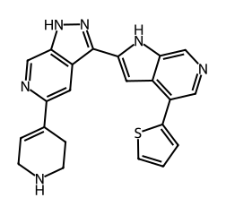 C1=C(c2cc3c(-c4cc5c(-c6cccs6)cncc5[nH]4)n[nH]c3cn2)CCNC1